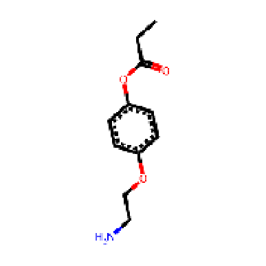 CCC(=O)Oc1ccc(OCCN)cc1